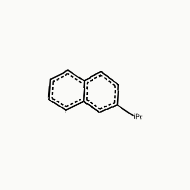 CC(C)c1ccc2ccc[c]c2c1